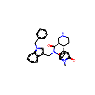 Cn1ccc([C@H]2CCNC[C@@H]2C(=O)N(Cc2cn(Cc3ccccc3)c3ccccc23)C2CC2)cc1=O